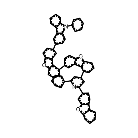 c1ccc(-c2cc(-c3cccc4oc5ccc(-c6cccc7oc8ccc(-c9ccc%10c(c9)c9ccccc9n%10-c9ccccc9)cc8c67)cc5c34)cc(-c3ccc4c(c3)oc3ccccc34)n2)cc1